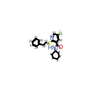 O=C(NC1CCCCC1)c1cc(F)cnc1SCCc1ccccc1